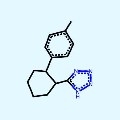 Cc1ccc(C2CCCCC2c2nnn[nH]2)cc1